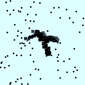 COCCCOc1cc(C(=O)N(CC2CN(C(=O)OC(C)(C)C)CC2NCC(=O)NCc2ccccc2)C(C)C)ccc1OC